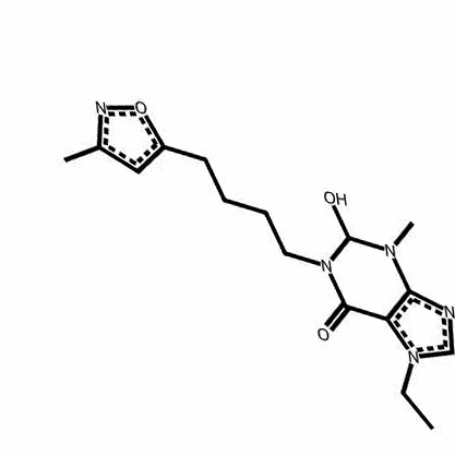 CCn1cnc2c1C(=O)N(CCCCc1cc(C)no1)C(O)N2C